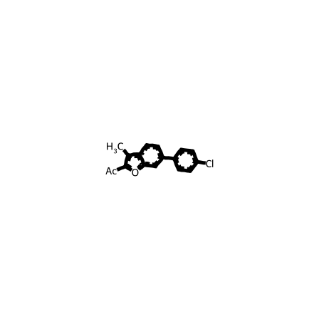 CC(=O)c1oc2cc(-c3ccc(Cl)cc3)ccc2c1C